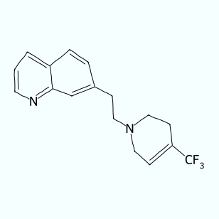 FC(F)(F)C1=CCN(CCc2ccc3cccnc3c2)CC1